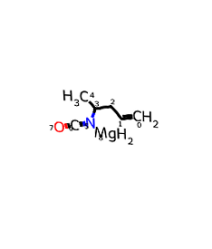 C=CCC(C)N=C=O.[MgH2]